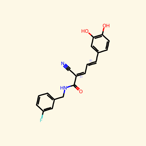 N#C/C(=C\C=C\c1ccc(O)c(O)c1)C(=O)NCc1cccc(F)c1